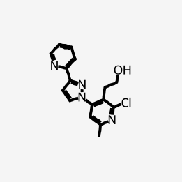 Cc1cc(-n2ccc(-c3ccccn3)n2)c(CCO)c(Cl)n1